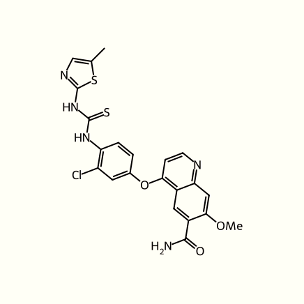 COc1cc2nccc(Oc3ccc(NC(=S)Nc4ncc(C)s4)c(Cl)c3)c2cc1C(N)=O